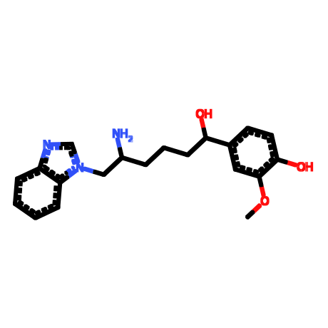 COc1cc(C(O)CCCC(N)Cn2cnc3ccccc32)ccc1O